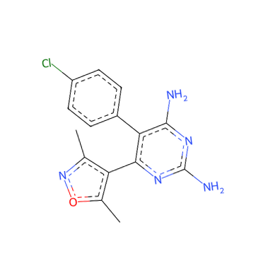 Cc1noc(C)c1-c1nc(N)nc(N)c1-c1ccc(Cl)cc1